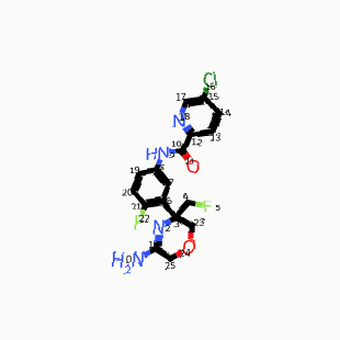 NC1=NC(CF)(c2cc(NC(=O)c3ccc(Cl)cn3)ccc2F)COC1